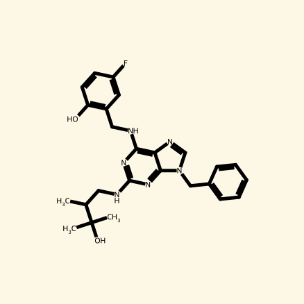 CC(CNc1nc(NCc2cc(F)ccc2O)c2ncn(Cc3ccccc3)c2n1)C(C)(C)O